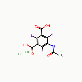 CC(=O)Nc1c(I)c(C(=O)O)c(I)c(C(=O)O)c1I.Cl.Cl